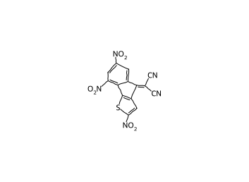 N#CC(C#N)=C1c2cc([N+](=O)[O-])sc2-c2c1cc([N+](=O)[O-])cc2[N+](=O)[O-]